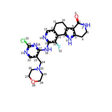 O=C1NCCc2[nH]c3c(c21)CCc1cnc(Nc2nc(Cl)ncc2CN2CCOCC2)c(F)c1-3